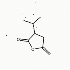 C=C1CC(C(C)C)C(=O)O1